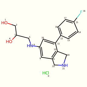 Cl.OCC(O)CNc1cc2c(c(-c3ccc(F)cc3)c1)CNC2